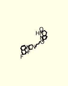 O=C1CCc2ccc(OCCCCN3CCN(c4cccc5cc(F)cc(F)c45)CC3)nc2N1